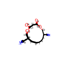 N#CC1CCCCCC(C#N)COC(=O)CC(=O)OC1